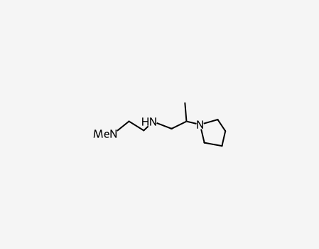 CNCCNCC(C)N1CCCC1